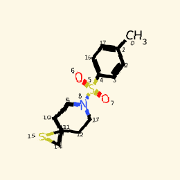 Cc1ccc(S(=O)(=O)N2CCC3(CC2)CS3)cc1